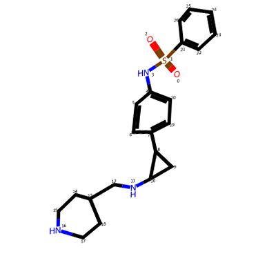 O=S(=O)(Nc1ccc(C2CC2NCC2CCNCC2)cc1)c1ccccc1